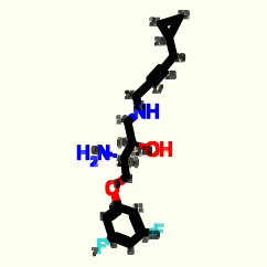 N[C@@H](COc1cc(F)cc(F)c1)[C@H](O)CNCC#CCC1CC1